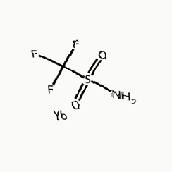 NS(=O)(=O)C(F)(F)F.[Yb]